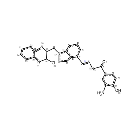 Nc1cc(C(=O)N/N=C/c2cccc3c2ccn3CC2N=c3ccccc3=NC2Cl)ccc1O